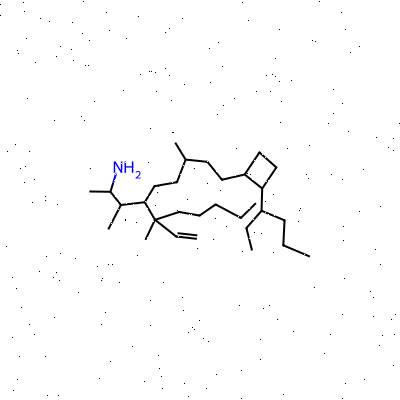 C=CC(C)(CCCCC)C(CCC(C)CCC1CCC1C(CC)CCC)C(C)C(C)N